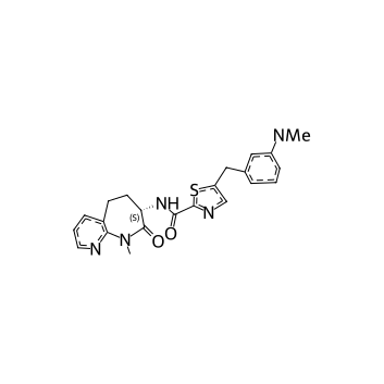 CNc1cccc(Cc2cnc(C(=O)N[C@H]3CCc4cccnc4N(C)C3=O)s2)c1